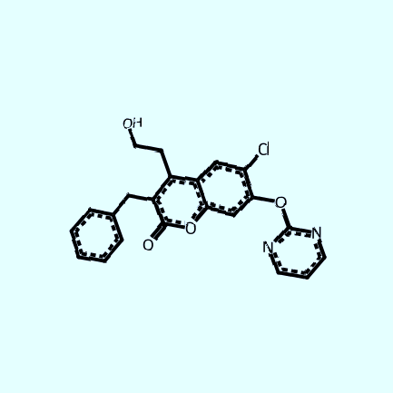 O=c1oc2cc(Oc3ncccn3)c(Cl)cc2c(CCO)c1Cc1ccccc1